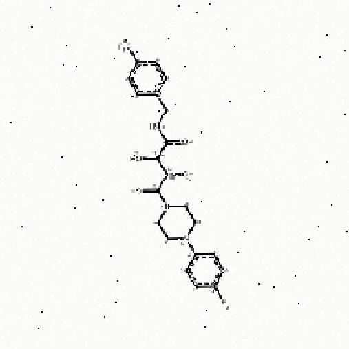 O=C(NCc1ccc(C(F)(F)F)cc1)[C@H](O)[C@@H](O)C(=O)N1CCN(c2ccc(F)cc2)CC1